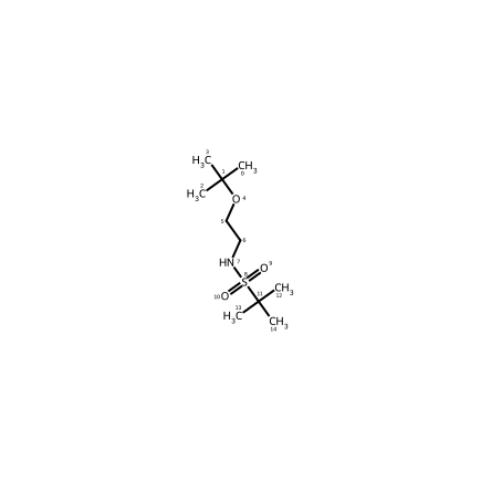 CC(C)(C)OCCNS(=O)(=O)C(C)(C)C